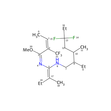 C\C=C(/C(=N\C(NCC(CC)C(C)CC(F)(F)CC)=C(\C)CC)OC)C(F)(F)F